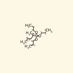 CCCO[Si](OCCC)(OCCC)C(C)CCC